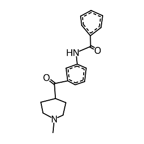 CN1CCC(C(=O)c2cccc(NC(=O)c3ccccc3)c2)CC1